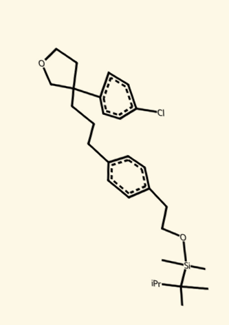 CC(C)C(C)(C)[Si](C)(C)OCCc1ccc(CCCC2(c3ccc(Cl)cc3)CCOC2)cc1